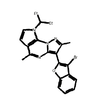 CCC(CC)n1ccc2c(C)nc3c(-c4oc5ccccc5c4Br)c(C)nn3c21